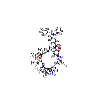 CO[C@H]1/C=C\C=C(/C)C(=O)NC2=CC(=O)C(NC(=O)c3ccc(CN(Cc4ccccc4)Cc4ccccc4)cc3)=C(C[C@@H](C)C[C@H](OC)[C@H](O)[C@@H](C)/C=C(\C)[C@@H]1OC(N)=O)C2=O